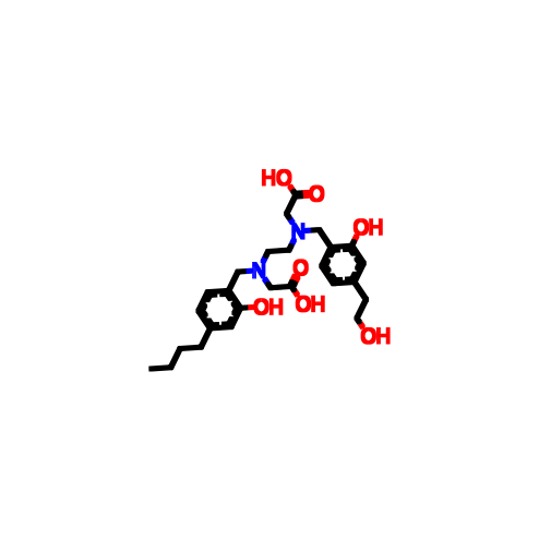 CCCCc1ccc(CN(CCN(CC(=O)O)Cc2ccc(CCO)cc2O)CC(=O)O)c(O)c1